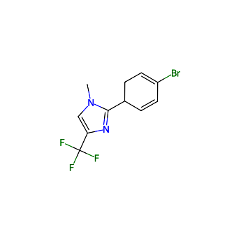 Cn1cc(C(F)(F)F)nc1C1C=CC(Br)=CC1